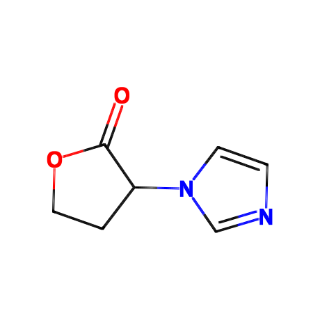 O=C1OCCC1n1ccnc1